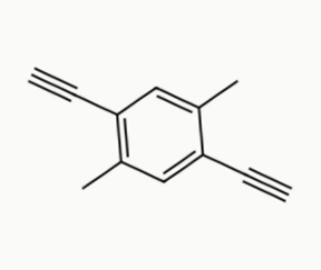 C#Cc1cc(C)c(C#C)cc1C